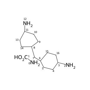 NC(=O)O.NC1CCC(CC2CCC(N)CC2)CC1